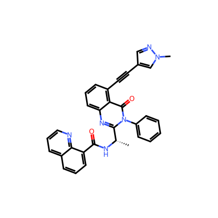 C[C@H](NC(=O)c1cccc2cccnc12)c1nc2cccc(C#Cc3cnn(C)c3)c2c(=O)n1-c1ccccc1